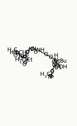 CCN(c1cc(-c2ccc(CN3CCN(CC(=O)NCCCCCOCCCOCCC(=O)N[C@H](C(=O)N4C[C@H](O)C[C@H]4C(=O)NCc4ccc(-c5scnc5C)cc4)C(C)(C)C)CC3)cc2)cc(C(=O)NCc2c(C)cc(C)[nH]c2=O)c1C)C1CCOCC1